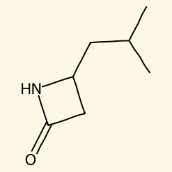 CC(C)CC1CC(=O)N1